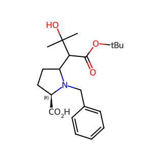 CC(C)(C)OC(=O)C(C1CC[C@H](C(=O)O)N1Cc1ccccc1)C(C)(C)O